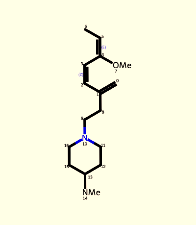 C=C(/C=C\C(=C/C)OC)CCN1CCC(NC)CC1